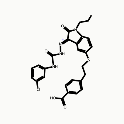 CCCN1C(=O)/C(=N/NC(=O)Nc2cccc(Cl)c2)c2cc(SCCc3ccc(C(=O)O)cc3)ccc21